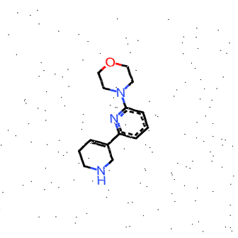 C1=C(c2cccc(N3CCOCC3)n2)CNCC1